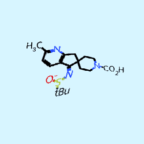 Cc1ccc2c(n1)CC1(CCN(C(=O)O)CC1)C2=N[S+]([O-])C(C)(C)C